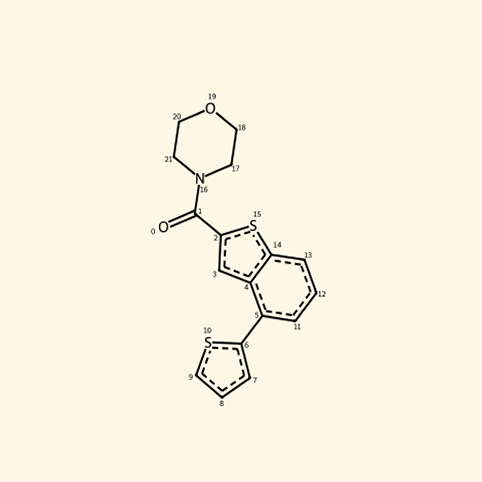 O=C(c1cc2c(-c3cccs3)cccc2s1)N1CCOCC1